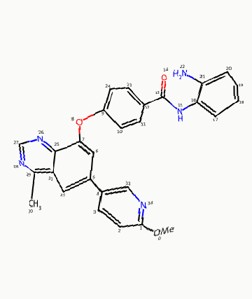 COc1ccc(-c2cc(Oc3ccc(C(=O)Nc4ccccc4N)cc3)c3ncnc(C)c3c2)cn1